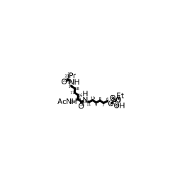 CCOP(=O)(O)OCCCCCCNC(=O)[C@H](CCCCNC(=O)C(C)C)NC(C)=O